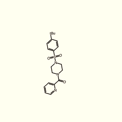 CC(C)(C)c1ccc(S(=O)(=O)N2CCN(C(=O)c3ccccn3)CC2)cc1